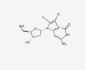 Nc1nc2c(c(Cl)c(I)n2[C@@H]2C[C@H](O)[C@@H](CO)O2)c(=O)[nH]1